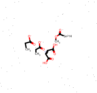 CCC(=O)[O-].CCC(=O)[O-].CO[C](=O)[SnH+2].O=C(O)/C=C\C(=O)O